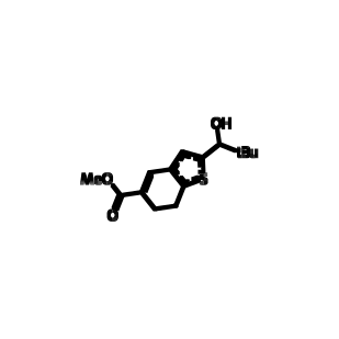 COC(=O)C1=Cc2cc(C(O)C(C)(C)C)sc2CC1